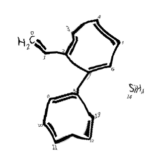 C=Cc1ccccc1-c1ccccc1.[SiH4]